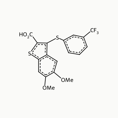 COc1cc2sc(C(=O)O)c(Sc3cccc(C(F)(F)F)c3)c2cc1OC